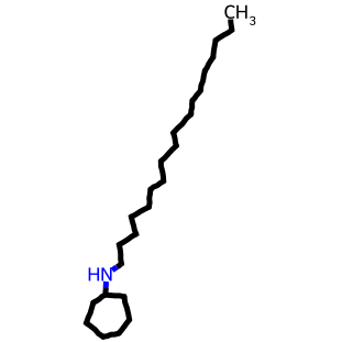 CCCCCCCCCCCCCCCCCCNC1CCCCCC1